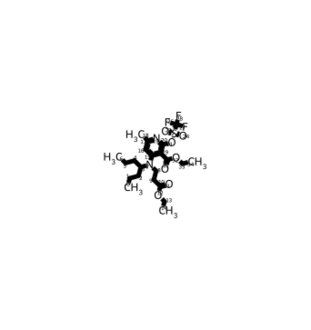 CCCC(CCC)N(CCC(=O)OCC)c1cc(C)nc(OS(=O)(=O)C(F)(F)F)c1C(=O)OCC